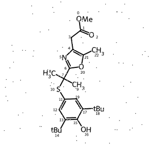 COC(=O)Cc1nc(C(C)(C)Sc2cc(C(C)(C)C)c(O)c(C(C)(C)C)c2)oc1C